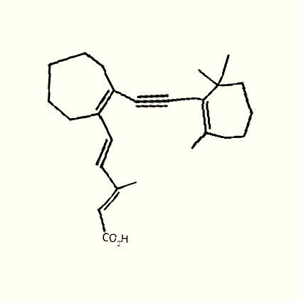 CC1=C(C#CC2=C(/C=C/C(C)=C/C(=O)O)CCCCC2)C(C)(C)CCC1